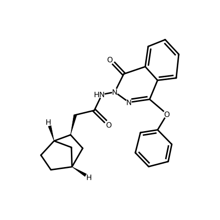 O=C(C[C@H]1C[C@@H]2CC[C@H]1C2)Nn1nc(Oc2ccccc2)c2ccccc2c1=O